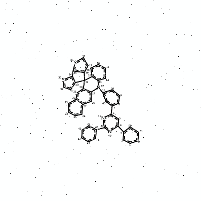 c1ccc(-c2cc(-c3cccc(N4c5ccccc5C5(c6cc7ccccc7cc64)c4ccsc4-c4sccc45)c3)nc(-c3ccccc3)n2)cc1